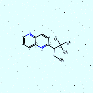 C[CH]C(c1ccc2ncccc2n1)C(C)(C)C